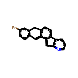 Brc1ccc2c(c1)Cc1ccc3c(c1=C2)=Cc1ncccc1-3